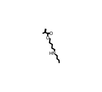 C=C(C)C(=O)OCCCCCNCCCC